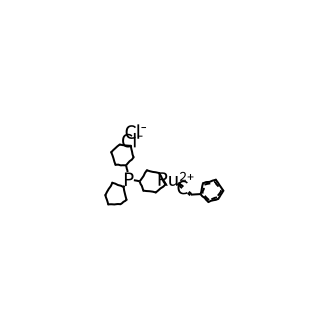 C1CCC(P(C2CCCCC2)C2CCCCC2)CC1.[Cl-].[Cl-].[Ru+2]=[C]=Cc1ccccc1